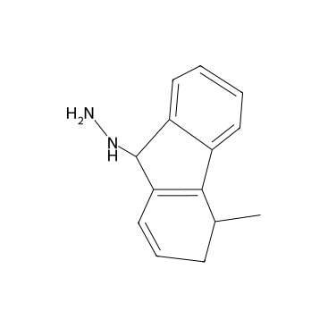 CC1CC=CC2=C1c1ccccc1C2NN